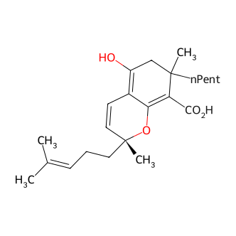 CCCCCC1(C)CC(O)=C2C=C[C@@](C)(CCC=C(C)C)OC2=C1C(=O)O